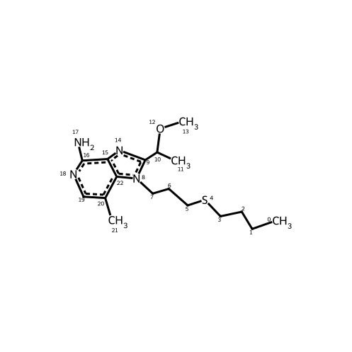 CCCCSCCCn1c(C(C)OC)nc2c(N)ncc(C)c21